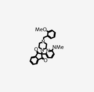 CNc1cccc(C2(N3CCN(Cc4ccccc4OC)CC3)C(=O)c3ccccc3C2=O)n1